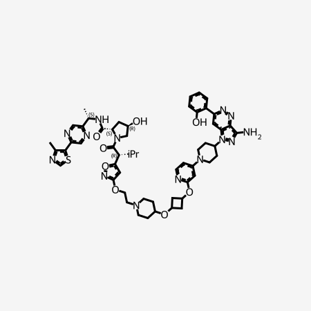 Cc1ncsc1-c1cnc([C@H](C)NC(=O)[C@@H]2C[C@@H](O)CN2C(=O)[C@@H](c2cc(OCCN3CCC(OC4CC(Oc5cc(N6CCC(n7nc(N)c8nnc(-c9ccccc9O)cc87)CC6)ccn5)C4)CC3)no2)C(C)C)cn1